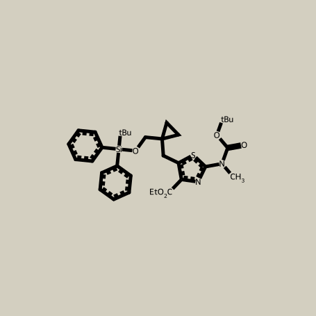 CCOC(=O)c1nc(N(C)C(=O)OC(C)(C)C)sc1CC1(CO[Si](c2ccccc2)(c2ccccc2)C(C)(C)C)CC1